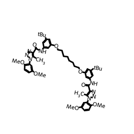 COc1ccc(OC)c(-n2nnc(C(=O)Nc3cc(OCCCCCCCCOc4cc(NC(=O)c5nnn(-c6cc(OC)ccc6OC)c5C)cc(C(C)(C)C)c4)cc(C(C)(C)C)c3)c2C)c1